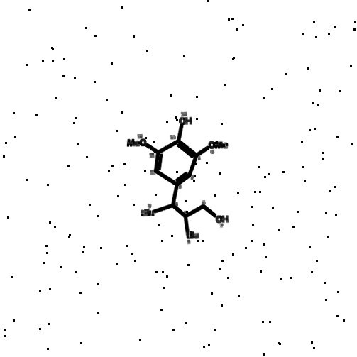 COc1cc(C(C(CO)C(C)(C)C)C(C)(C)C)cc(OC)c1O